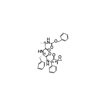 C[C@H](NC(=O)OCc1ccccc1)C(=O)N[C@@H](Cc1ccccc1)C(=O)N[C@H](C(=O)[C@@]1(C)CO1)c1ccccc1